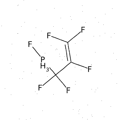 F[PH3]C(F)(F)C(F)=C(F)F